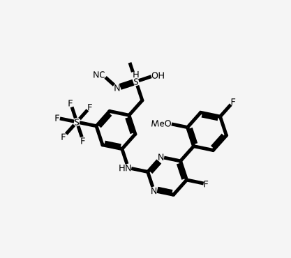 COc1cc(F)ccc1-c1nc(Nc2cc(C[SH](C)(O)=NC#N)cc(S(F)(F)(F)(F)F)c2)ncc1F